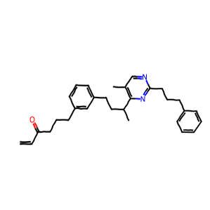 C=CC(=O)CCCc1cccc(CCC(C)c2nc(CCCc3ccccc3)ncc2C)c1